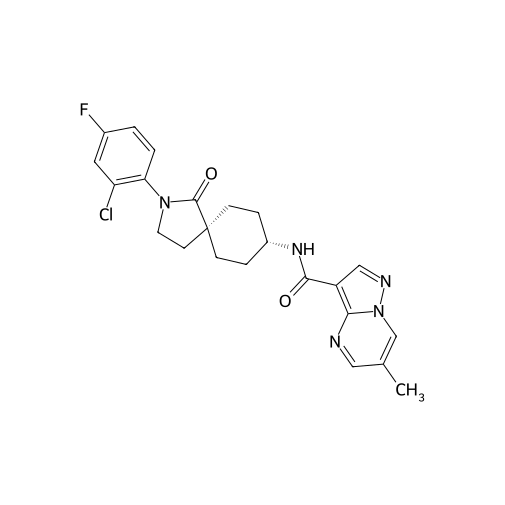 Cc1cnc2c(C(=O)N[C@H]3CC[C@@]4(CCN(c5ccc(F)cc5Cl)C4=O)CC3)cnn2c1